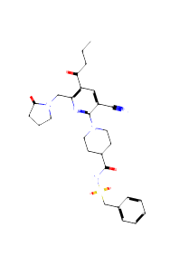 CCCC(=O)c1cc(C#N)c(N2CCC(C(=O)NS(=O)(=O)Cc3ccccc3)CC2)nc1CN1CCCC1=O